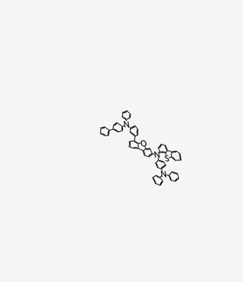 c1ccc(-c2ccc(N(c3ccccc3)c3cccc(-c4cccc5c4oc4cc(N(c6ccc(N(c7ccccc7)c7ccccc7)cc6)c6cccc7c6sc6ccccc67)ccc45)c3)cc2)cc1